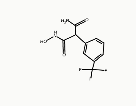 NC(=O)C(C(=O)NO)c1cccc(C(F)(F)F)c1